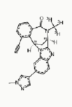 [2H]C([2H])([2H])N1C(=O)c2cccc(C#C)c2[C@H]2C[C@@H]1c1nc3ccc(-c4cnn(C)c4)cc3n12